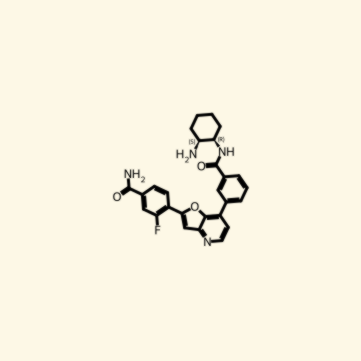 NC(=O)c1ccc(-c2cc3nccc(-c4cccc(C(=O)N[C@@H]5CCCC[C@@H]5N)c4)c3o2)c(F)c1